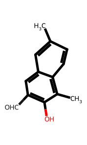 Cc1ccc2c(C)c(O)c(C=O)cc2c1